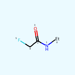 CCNC(=O)CF